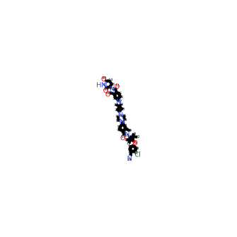 CC1(C)C(Oc2ccc(C#N)c(Cl)c2)C(C)(C)C1N1Cc2cc(N3CCN(C4CC5(C4)CN(c4ccc6c(c4)C(=O)N(C4CCC(=O)NC4=O)C6=O)C5)CC3)ccc2C1=O